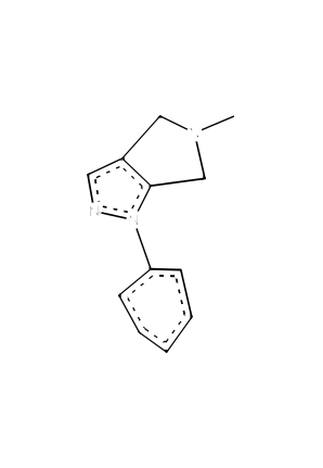 CN1Cc2cnn(-c3ccccc3)c2C1